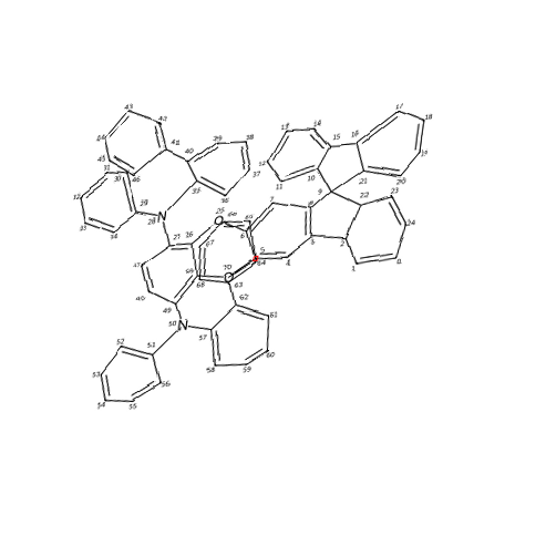 C1=CC2c3cc4c(cc3C3(c5ccccc5-c5ccccc53)C2C=C1)Oc1c(N(c2ccccc2)c2ccccc2-c2ccccc2)ccc(N(c2ccccc2)c2ccccc2-c2ccccc2)c1O4